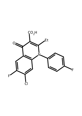 CCc1c(C(=O)O)c(=O)c2cc(F)c(Cl)cc2n1-c1ccc(F)cc1